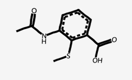 CSc1c(NC(C)=O)cccc1C(=O)O